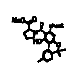 CCCCCc1cc2c(c(O)c1C(=O)N1CCC[C@@H]1C(=O)OC)-c1cc(C)ccc1C(C)(C)O2